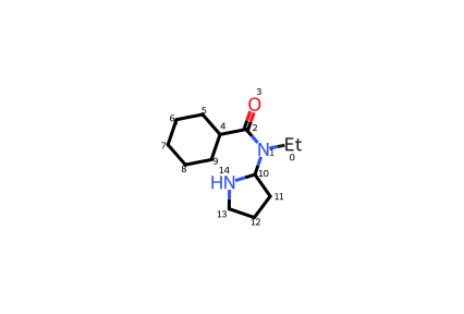 CCN(C(=O)C1C[CH]CCC1)C1CCCN1